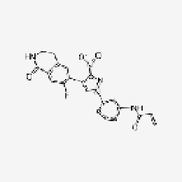 C=CC(=O)Nc1cccc(-n2cc(-c3cc4c(cc3F)C(=O)NCC4)c([N+](=O)[O-])n2)c1